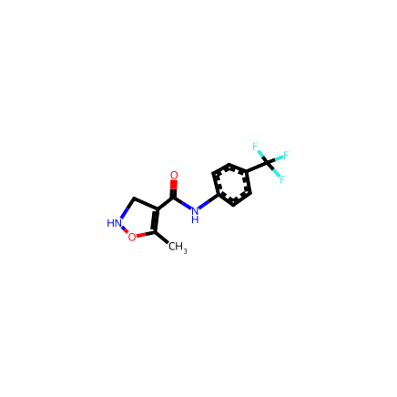 CC1=C(C(=O)Nc2ccc(C(F)(F)F)cc2)CNO1